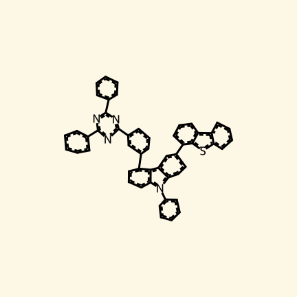 c1ccc(-c2nc(-c3ccccc3)nc(-c3cccc(-c4cccc5c4c4cc(-c6cccc7c6sc6ccccc67)ccc4n5-c4ccccc4)c3)n2)cc1